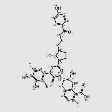 O=C(NCCN1CCN(C(=O)NC(C(=O)N[C@H]2Cc3ccc(F)c(C(=O)O)c3OB2O)c2cc(F)c(O)c(O)c2Cl)C1=O)c1ccc(O)cc1